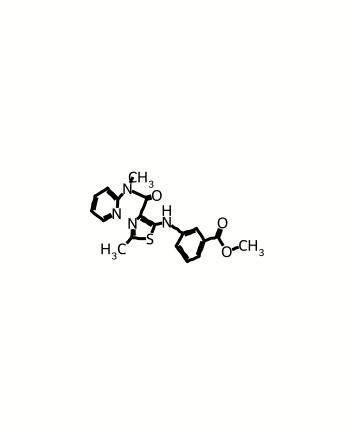 COC(=O)c1cccc(Nc2sc(C)nc2C(=O)N(C)c2ccccn2)c1